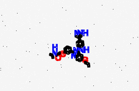 CCCOc1ccc2nc(-c3cccc(OCC(=O)NC(C)C)c3)nc(Nc3ccc(-c4cn[nH]c4)cc3)c2c1